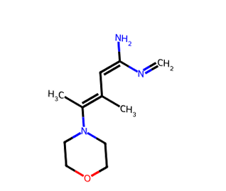 C=N/C(N)=C\C(C)=C(/C)N1CCOCC1